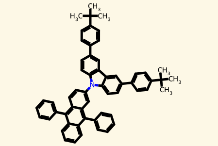 CC(C)(C)c1ccc(-c2ccc3c(c2)c2cc(-c4ccc(C(C)(C)C)cc4)ccc2n3-c2ccc3c(-c4ccccc4)c4ccccc4c(-c4ccccc4)c3c2)cc1